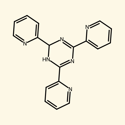 c1ccc(C2=NC(c3ccccn3)NC(c3ccccn3)=N2)nc1